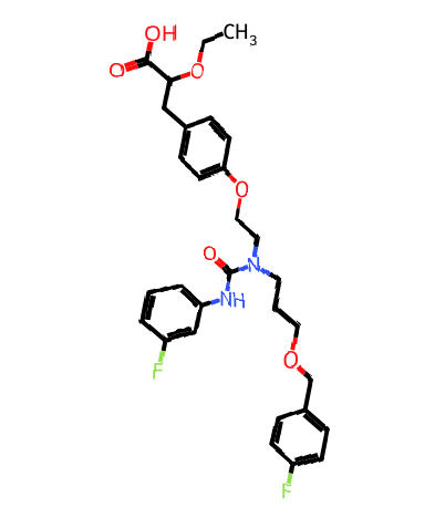 CCOC(Cc1ccc(OCCN(CCCOCc2ccc(F)cc2)C(=O)Nc2cccc(F)c2)cc1)C(=O)O